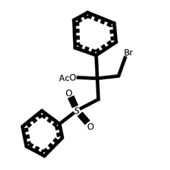 CC(=O)OC(CBr)(CS(=O)(=O)c1ccccc1)c1ccccc1